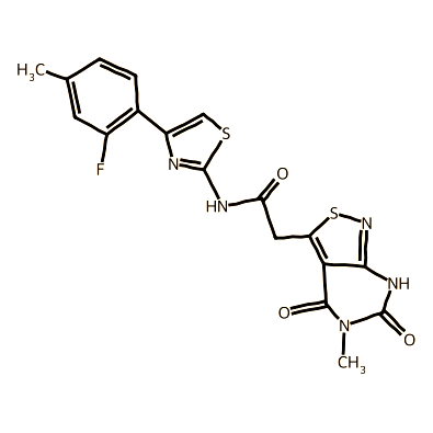 Cc1ccc(-c2csc(NC(=O)Cc3snc4[nH]c(=O)n(C)c(=O)c34)n2)c(F)c1